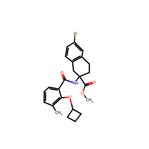 COC(=O)C1(NC(=O)c2cccc(C)c2OC2CCC2)CCc2cc(Br)ccc2C1